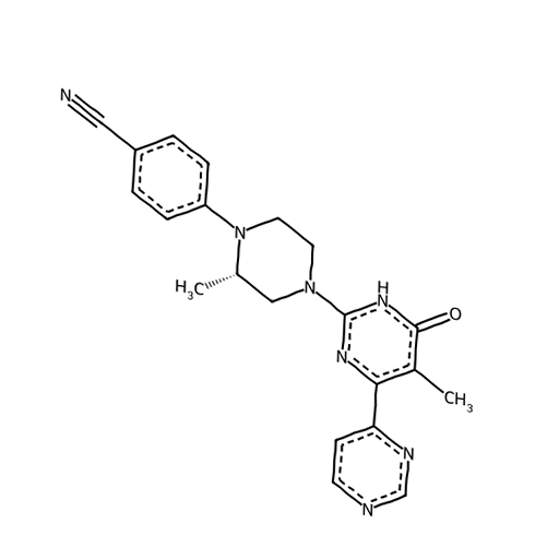 Cc1c(-c2ccncn2)nc(N2CCN(c3ccc(C#N)cc3)[C@@H](C)C2)[nH]c1=O